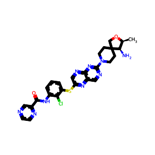 C[C@@H]1OCC2(CCN(c3ncc4nc(Sc5cccc(NC(=O)c6cnccn6)c5Cl)cnc4n3)CC2)[C@@H]1N